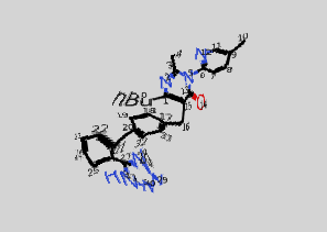 CCCCc1nc(C)n(-c2ccc(C)cn2)c(=O)c1Cc1ccc(-c2ccccc2-c2nnn[nH]2)cc1